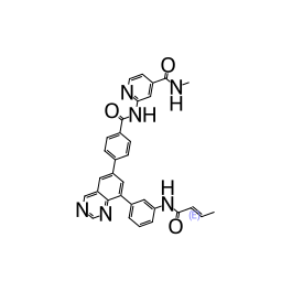 C/C=C/C(=O)Nc1cccc(-c2cc(-c3ccc(C(=O)Nc4cc(C(=O)NC)ccn4)cc3)cc3cncnc23)c1